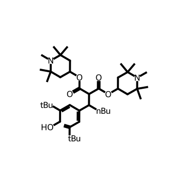 C=C(/C=C(\C=C(/CO)C(C)(C)C)C(CCCC)C(C(=O)OC1CC(C)(C)N(C)C(C)(C)C1)C(=O)OC1CC(C)(C)N(C)C(C)(C)C1)C(C)(C)C